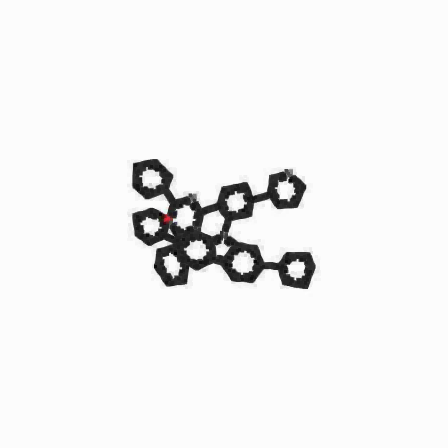 c1ccc(-c2ccc3c4ccc(-c5ccccc5)cc4n(-c4cc(-c5cccnc5)ccc4-c4nc(-c5ccccc5)nc(-c5ccccc5)n4)c3c2)cc1